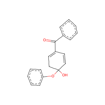 O=C(C1=CCC(O)(Oc2ccccc2)C=C1)c1ccccc1